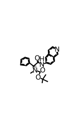 CN(C(=O)OC(C)(C)C)[C@@H](C(=O)Nc1ccc2cnccc2c1)c1ccccc1